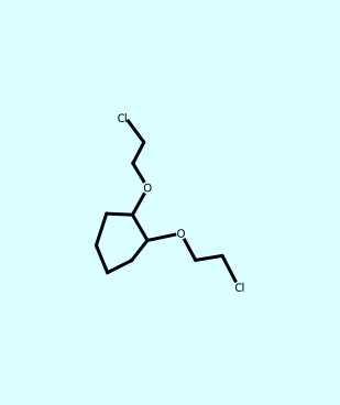 ClCCOC1CCCCC1OCCCl